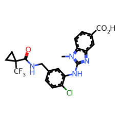 Cn1c(Nc2cc(CNC(=O)C3(C(F)(F)F)CC3)ccc2Cl)nc2cc(C(=O)O)ccc21